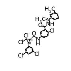 Cc1cccc(N(C)NC(=O)c2cc(NC(=O)[C@H]3[C@H](c4cc(Cl)cc(Cl)c4)C3(Cl)Cl)ccc2Cl)c1